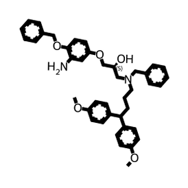 COc1ccc(C(CCCN(Cc2ccccc2)C[C@H](O)COc2ccc(OCc3ccccc3)c(N)c2)c2ccc(OC)cc2)cc1